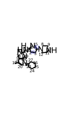 C=C(/C=C\C(=C/N)N1CCNCC1)Nc1ncc2c(C)cn(C3CCCCC3)c2n1